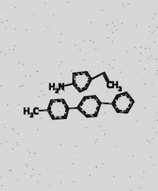 C=Cc1ccc(N)cc1.Cc1ccc(-c2ccc(-c3ccccc3)cc2)cc1